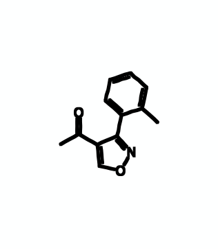 CC(=O)c1conc1-c1ccccc1C